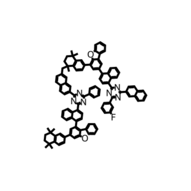 CC1(C)CCC(C)(C)c2cc(-c3cc(-c4ccc(-c5nc(-c6ccccc6)nc(-c6ccc7ccc(CC8(C)CCC(C)(C)c9cc(-c%10cc(-c%11ccc(-c%12nc(-c%13cccc(F)c%13)nc(-c%13ccc%14ccccc%14c%13)n%12)c%12ccccc%11%12)cc%11c%10oc%10ccccc%10%11)ccc98)cc7c6)n5)c5ccccc45)c4c(c3)oc3ccccc34)ccc21